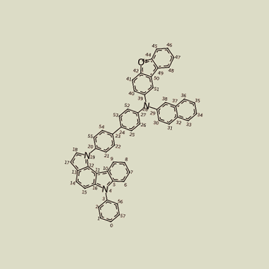 c1ccc(-n2c3ccccc3c3c4c(ccc32)ccn4-c2ccc(-c3ccc(N(c4ccc5ccccc5c4)c4ccc5oc6ccccc6c5c4)cc3)cc2)cc1